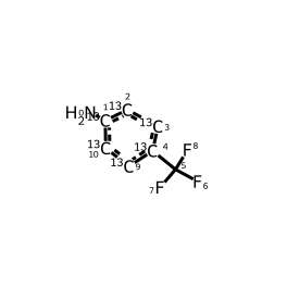 N[13c]1[13cH][13cH][13c](C(F)(F)F)[13cH][13cH]1